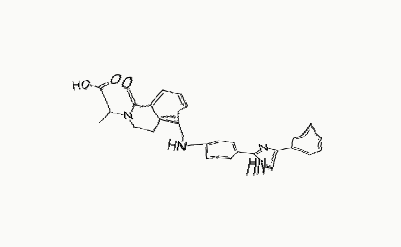 CC(C(=O)O)N1CCc2c(Nc3ccc(-c4nc(-c5ccccc5)c[nH]4)cc3)cccc2C1=O